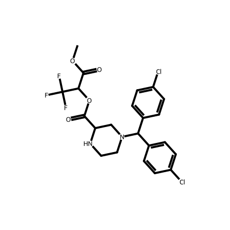 COC(=O)C(OC(=O)C1CN(C(c2ccc(Cl)cc2)c2ccc(Cl)cc2)CCN1)C(F)(F)F